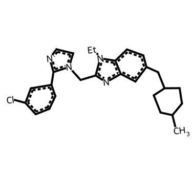 CCn1c(Cn2ccnc2-c2cccc(Cl)c2)nc2cc(CC3CCC(C)CC3)ccc21